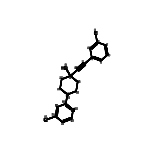 OC1(C#Cc2cccc(Cl)c2)CCN(c2cc(Cl)ccn2)CC1